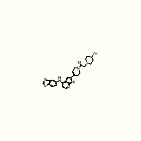 O=C(CN1CCC(O)CC1)N1CC=C(c2cc3c(Nc4ccc5ncsc5c4)ccnc3[nH]2)CC1